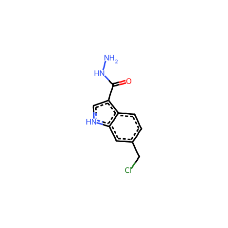 NNC(=O)c1c[nH]c2cc(CCl)ccc12